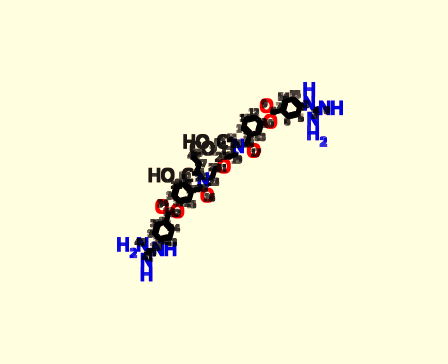 N=C(N)Nc1ccc(C(=O)Oc2cccc(C(=O)N(CCOCCN(C(=O)c3cccc(OC(=O)c4ccc(NC(=N)N)cc4)c3)C(CCC(=O)O)C(=O)O)CC(=O)O)c2)cc1